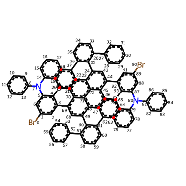 Brc1cc2c3c(c1)N(c1ccccc1)c1ccccc1B3c1cc3c(-c4c(-c5ccccc5)cccc4-c4ccccc4)cc4c5c(cc6c(-c7c(-c8ccccc8)cccc7-c7ccccc7)cc-2c1c6c35)B1c2ccccc2N(c2ccccc2)c2cc(Br)cc-4c21